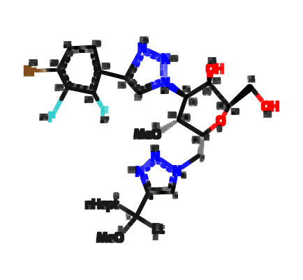 CCCCCCCC(CC)(OC)c1cn(C[C@H]2O[C@H](CO)[C@H](O)[C@H](n3cc(-c4ccc(Br)c(F)c4F)nn3)[C@H]2OC)nn1